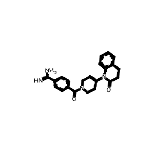 N=C(N)c1ccc(C(=O)N2CCC(N3C(=O)CCc4ccccc43)CC2)cc1